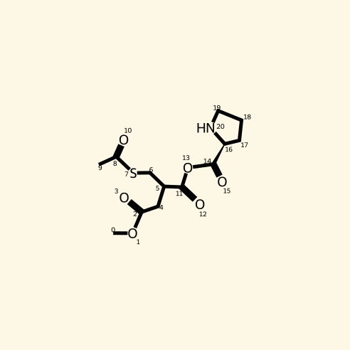 COC(=O)CC(CSC(C)=O)C(=O)OC(=O)[C@@H]1CCCN1